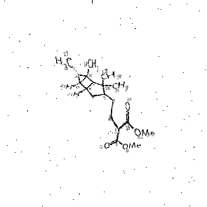 COC(=O)C(CCC1C[C@H]2C(C1(C)C)[C@]1(C)[C@H]2[C@@H]1C)C(=O)OC